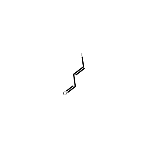 O=C/C=C/I